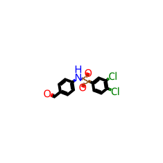 O=Cc1ccc(NS(=O)(=O)c2ccc(Cl)c(Cl)c2)cc1